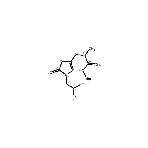 CCC(CC)CN1N=C(CN(C)C(=O)OC(C)(C)C)CC1=O